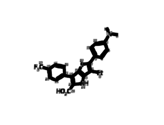 CCc1c(-c2ccc(N(C)C)cc2)sc2c(-c3ccc(C(F)(F)F)cc3)c(C(=O)O)[nH]c12